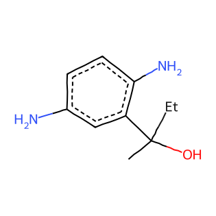 CCC(C)(O)c1cc(N)ccc1N